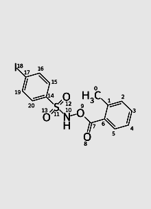 Cc1ccccc1C(=O)ONS(=O)(=O)c1ccc(I)cc1